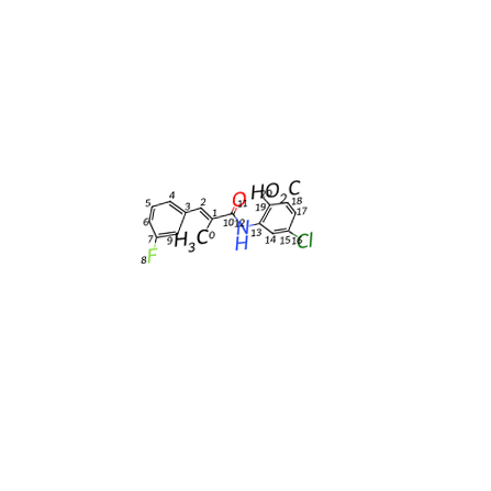 C/C(=C\c1cccc(F)c1)C(=O)Nc1cc(Cl)ccc1C(=O)O